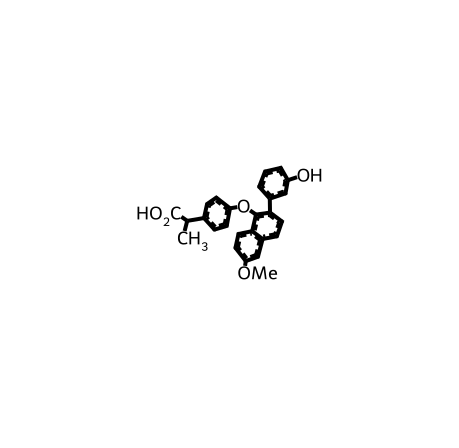 COc1ccc2c(Oc3ccc(C(C)C(=O)O)cc3)c(-c3cccc(O)c3)ccc2c1